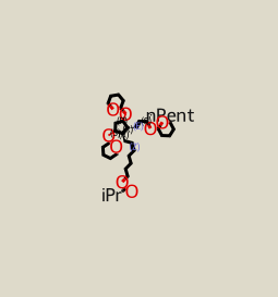 CCCCC[C@@H](/C=C/[C@@H]1[C@@H](C/C=C\CCCCOC(=O)C(C)C)[C@@H](OC2CCCCO2)C[C@H]1OC1CCCCO1)OC1CCCCO1